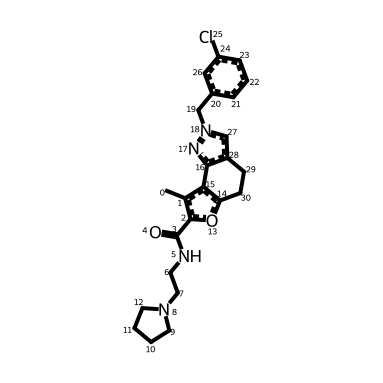 Cc1c(C(=O)NCCN2CCCC2)oc2c1-c1nn(Cc3cccc(Cl)c3)cc1CC2